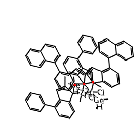 CC1=Cc2c(-c3ccccc3)cccc2[CH]1[Zr]([CH3])([CH3])([CH]1C(C)=Cc2c(-c3ccccc3)cccc21)([GeH]([CH3])[CH3])[Zr]([Cl])([Cl])([CH]1C(C)=Cc2c(-c3cccc4ccccc34)cccc21)([CH]1C(C)=Cc2c(-c3cccc4ccccc34)cccc21)[GeH]([CH3])[CH3]